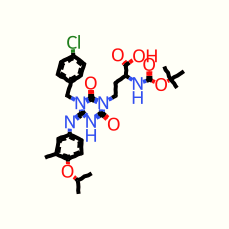 Cc1cc(N=c2[nH]c(=O)n(CCC(NC(=O)OC(C)(C)C)C(=O)O)c(=O)n2Cc2ccc(Cl)cc2)ccc1OC(C)C